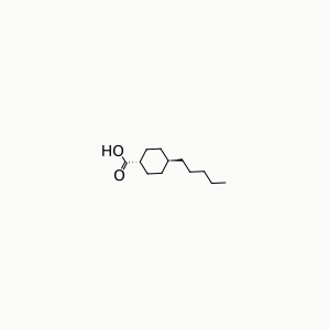 CCCCC[C@H]1CC[C@H](C(=O)O)CC1